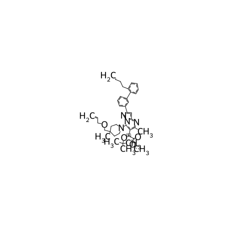 C=CCCc1ccccc1-c1cccc(-c2cc3nc(C)c([C@H](OC(C)(C)C)C(=O)OC)c(N4CCC(C)(COCC=C)CC4)n3n2)c1